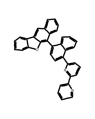 c1ccc(-c2cccc(-c3ccc(-c4c5ccccc5cc5c4oc4ccccc45)c4ccccc34)n2)nc1